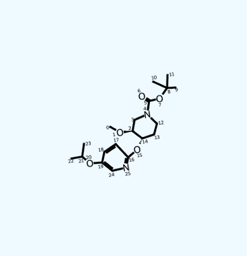 CO[C@H]1CN(C(=O)OC(C)(C)C)CC[C@@H]1Oc1ccc(OC(C)C)cn1